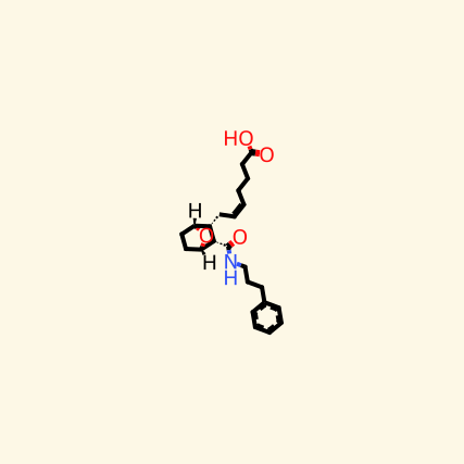 O=C(O)CCC/C=C\C[C@@H]1[C@H](C(=O)NCCCc2ccccc2)[C@@H]2CC[C@H]1O2